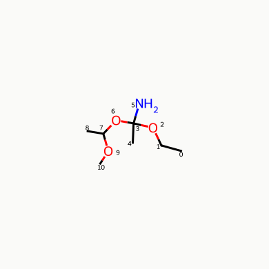 CCOC(C)(N)OC(C)OC